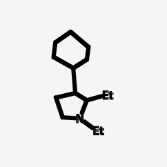 CCC1C(C2CCCCC2)CCN1CC